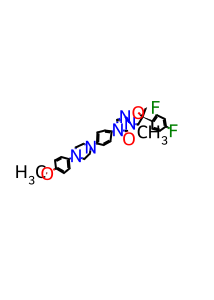 COc1ccc(N2CCN(c3ccc(-n4cnn([C@H](C)[C@@]5(c6ccc(F)cc6F)CO5)c4=O)cc3)CC2)cc1